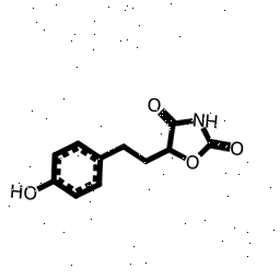 O=C1NC(=O)C(CCc2ccc(O)cc2)O1